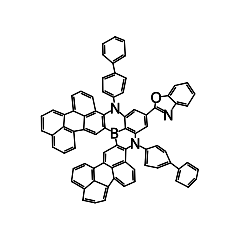 c1ccc(-c2ccc(N3c4cc(-c5nc6ccccc6o5)cc5c4B(c4cc6c7cccc8cccc(c9cccc(c43)c96)c87)c3cc4c6cccc7cccc(c8cccc(c3N5c3ccc(-c5ccccc5)cc3)c84)c76)cc2)cc1